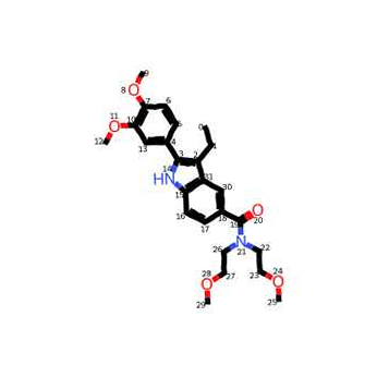 CCc1c(-c2ccc(OC)c(OC)c2)[nH]c2ccc(C(=O)N(CCOC)CCOC)cc12